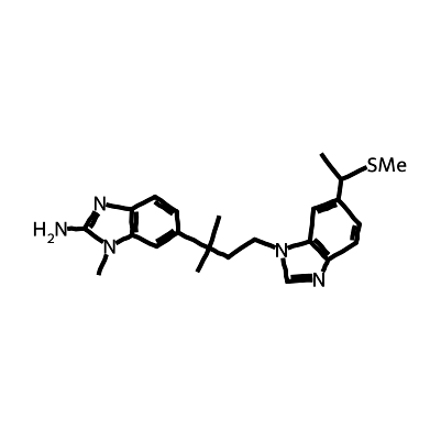 CSC(C)c1ccc2ncn(CCC(C)(C)c3ccc4nc(N)n(C)c4c3)c2c1